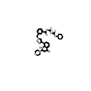 CC(OC(=O)OC1CCCCC1)OC(=O)c1cccc(Cn2cc(-c3cccc4c(=O)cc(N5CCOCC5)[nH]c34)nn2)c1